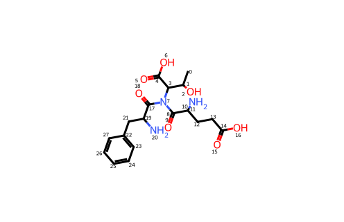 CC(O)C(C(=O)O)N(C(=O)C(N)CCC(=O)O)C(=O)C(N)Cc1ccccc1